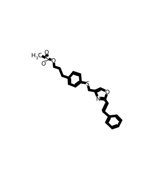 CS(=O)(=O)OCCCc1ccc(SCc2coc(C=Cc3ccccc3)n2)cc1